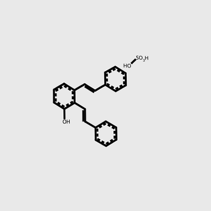 O=S(=O)(O)O.Oc1cccc(C=Cc2ccccc2)c1C=Cc1ccccc1